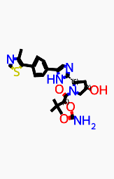 Cc1ncsc1-c1ccc(-c2cnc([C@@H]3C[C@@H](O)CN3C(=O)[C@@H](OC(N)=O)C(C)(C)C)[nH]2)cc1